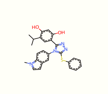 CC(C)c1cc(-c2nnc(Sc3ccccc3)n2-c2ccc3c(ccn3C)c2)c(O)cc1O